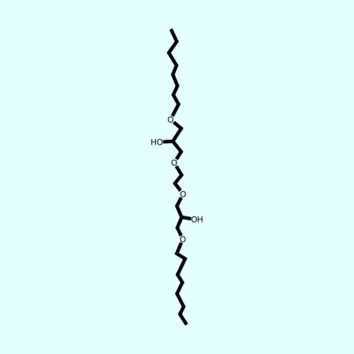 CCCCCCCCOCC(O)COCCOCC(O)COCCCCCCCC